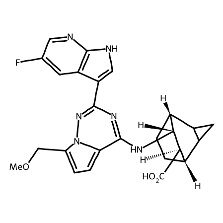 COCc1ccc2c(N[C@H]3[C@H](C(=O)O)[C@H]4CC[C@@H]3C3CC34)nc(-c3c[nH]c4ncc(F)cc34)nn12